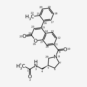 CC(=O)NC[C@@H]1CCN(C(=O)c2ccc3c(-c4ccccc4C)cc(=O)oc3c2)C1